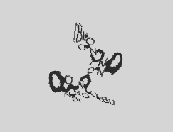 C[C@H]1CN(C(=O)OC(C)(C)C)CC[C@@H]1n1c(O[C@H]2C[C@@H](C(=O)OC(C)(C)C)N(c3nc(Br)nc4c3oc3ccccc34)C2)nc2ccccc21